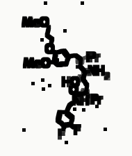 COCCCOc1cc(C[C@@H](C[C@H](N)[C@@H](O)C[C@H](C(=O)NCc2ccc(F)c(F)c2)C(C)C)C(C)C)ccc1OC